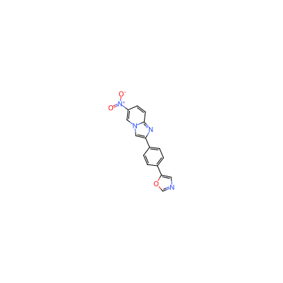 O=[N+]([O-])c1ccc2nc(-c3ccc(-c4cnco4)cc3)cn2c1